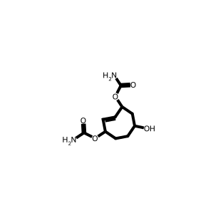 NC(=O)OC1/C=C/C(OC(N)=O)CC(O)CC1